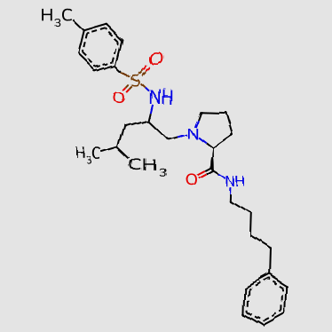 Cc1ccc(S(=O)(=O)NC(CC(C)C)CN2CCC[C@H]2C(=O)NCCCCc2ccccc2)cc1